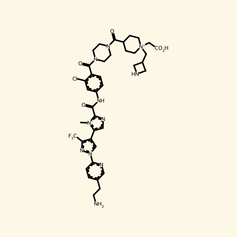 Cn1c(-c2cn(-c3ccc(CCN)cn3)nc2C(F)(F)F)cnc1C(=O)Nc1ccc(C(=O)N2CCN(C(=O)C3CC[N+](CC(=O)O)(CC4CNC4)CC3)CC2)c(Cl)c1